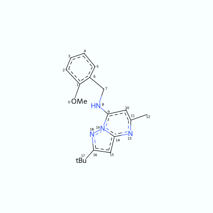 COc1ccccc1CNc1cc(C)nc2cc(C(C)(C)C)nn12